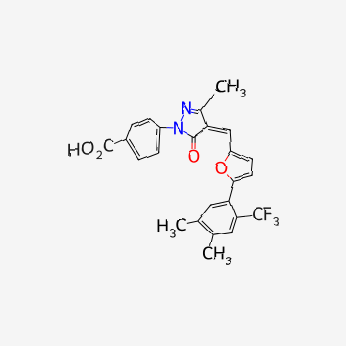 CC1=NN(c2ccc(C(=O)O)cc2)C(=O)C1=Cc1ccc(-c2cc(C)c(C)cc2C(F)(F)F)o1